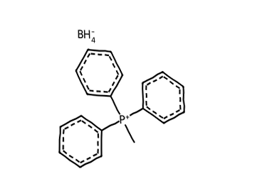 C[P+](c1ccccc1)(c1ccccc1)c1ccccc1.[BH4-]